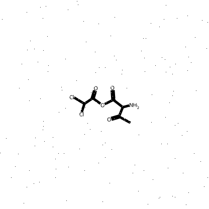 CC(=O)C(N)C(=O)OC(=O)C(Cl)Cl